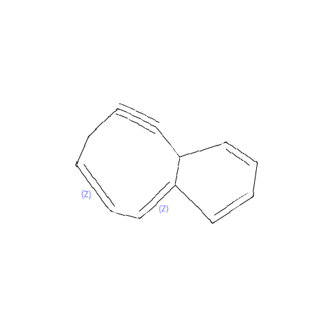 C1#CC2C=CC=C/C2=C/C=C\C1